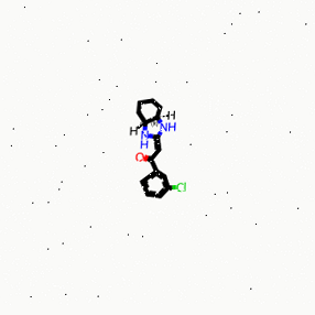 O=C(C=C1N[C@@H]2CCCC[C@H]2N1)c1cccc(Cl)c1